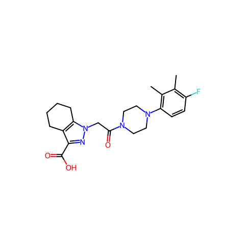 Cc1c(F)ccc(N2CCN(C(=O)Cn3nc(C(=O)O)c4c3CCCC4)CC2)c1C